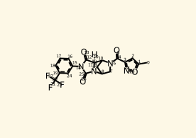 Cc1cc(C(=O)N2CC3CC2[C@@H]2C(=O)N(c4cccc(C(F)(F)F)c4)C(=O)N32)no1